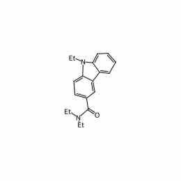 CCN(CC)C(=O)c1ccc2c(c1)c1ccccc1n2CC